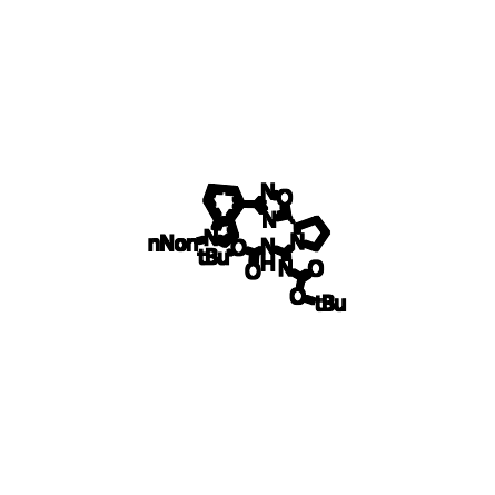 CCCCCCCCCn1ccc2c(-c3noc([C@@H]4CCCN4/C(=N\C(=O)OC(C)(C)C)NC(=O)OC(C)(C)C)n3)cccc21